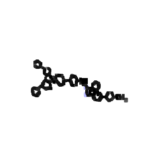 CC1C=CC(c2ccc(/C=C\C(=C/CNc3ccc(-c4ccc(-n5c6c(c7cc(-c8ccccc8)ccc75)C=C(c5ccccc5)CC6)cc4)cc3)C3(C)C=CC=CC3)cc2)=CC1